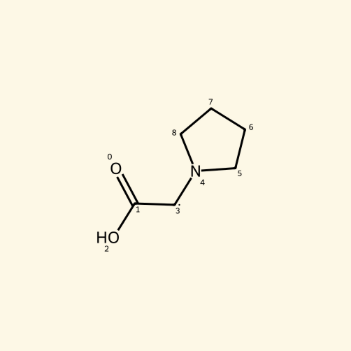 O=C(O)[CH]N1CCCC1